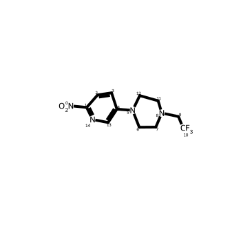 O=[N+]([O-])c1ccc(N2CCN(CC(F)(F)F)CC2)cn1